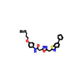 CNCCCOc1ccc(NC(=O)Cc2nnc(Cc3nc4ccc(-c5ccccc5)cc4s3)o2)cc1